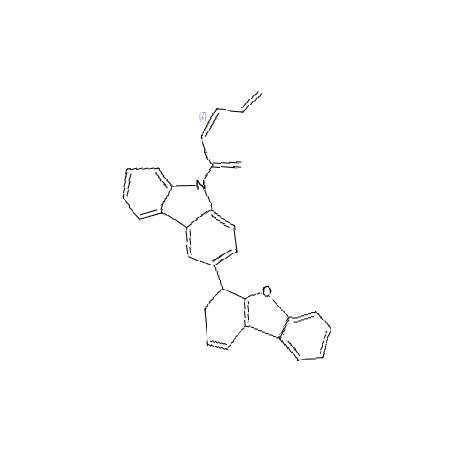 C=C/C=C\C(=C)n1c2ccccc2c2cc(C3CC=Cc4c3oc3ccccc43)ccc21